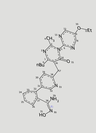 CCCCc1nc(C)n(-c2ncc(OCC)cn2)c(=O)c1Cc1ccc(-c2ccccc2/C(N)=N\O)cn1